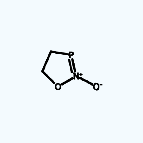 [O-][N+]1=PCCO1